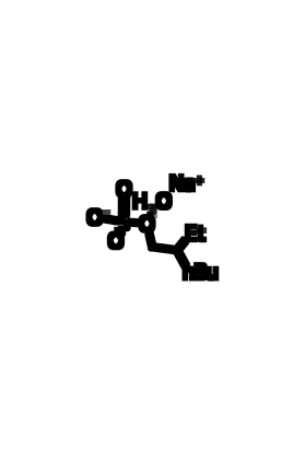 CCCCC(CC)COS(=O)(=O)[O-].O.[Na+]